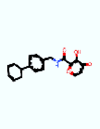 O=C(NCc1ccc(C2C=CC=CC2)cc1)c1occc(=O)c1O